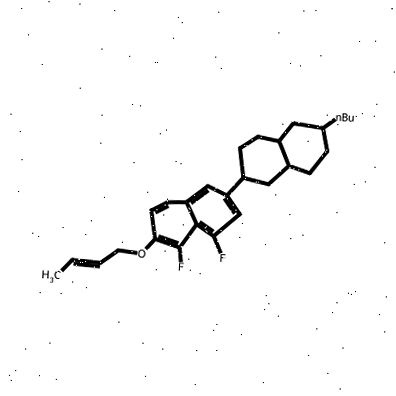 CC=CCOc1ccc2cc(C3CCC4CC(CCCC)CCC4C3)cc(F)c2c1F